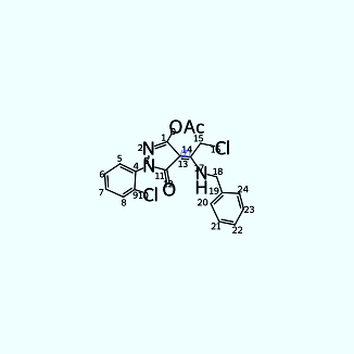 CC(=O)OC1=NN(c2ccccc2Cl)C(=O)/C1=C(/CCl)NCc1ccccc1